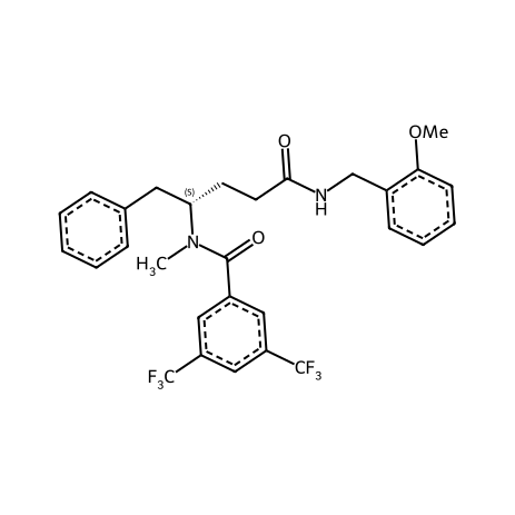 COc1ccccc1CNC(=O)CC[C@@H](Cc1ccccc1)N(C)C(=O)c1cc(C(F)(F)F)cc(C(F)(F)F)c1